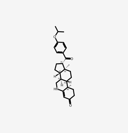 CC(C)Oc1ccc(C(=O)[C@H]2CC[C@H]3[C@@H]4CNC5=CC(=O)CC[C@]5(C)[C@H]4CC[C@]23C)cc1